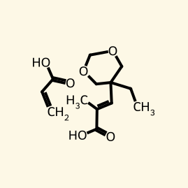 C=CC(=O)O.CCC1(C=C(C)C(=O)O)COCOC1